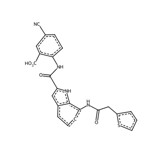 N#Cc1ccc(NC(=O)c2cc3cccc(NC(=O)Cc4cccs4)c3[nH]2)c(C(=O)O)c1